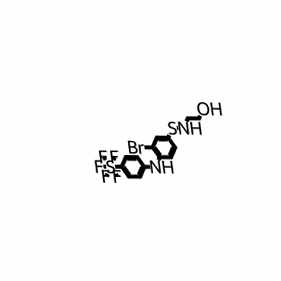 OCCNSc1ccc(Nc2ccc(S(F)(F)(F)(F)F)cc2)c(Br)c1